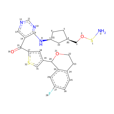 NSOC[C@@H]1CC[C@H](Nc2ncncc2C(=O)c2cc(C3OCCc4ccc(F)cc43)cs2)C1